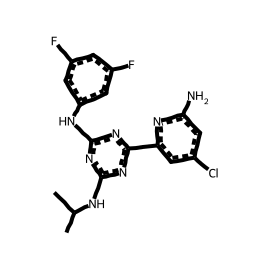 CC(C)Nc1nc(Nc2cc(F)cc(F)c2)nc(-c2cc(Cl)cc(N)n2)n1